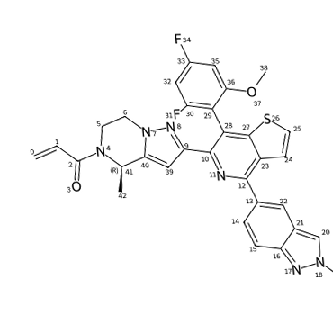 C=CC(=O)N1CCn2nc(-c3nc(-c4ccc5nn(C)cc5c4)c4ccsc4c3-c3c(F)cc(F)cc3OC)cc2[C@H]1C